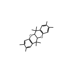 Cc1cc2c(cc1C)C(C)(C)C1Oc3cc(C)c(C)cc3C(C)(C)C1O2